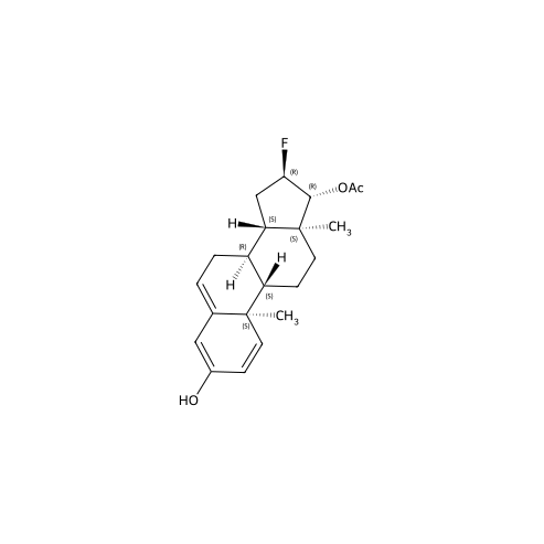 CC(=O)O[C@H]1[C@H](F)C[C@H]2[C@@H]3CC=C4C=C(O)C=C[C@]4(C)[C@H]3CC[C@@]21C